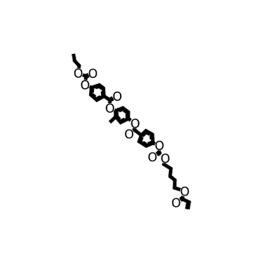 C=CC(=O)OCCCCCOC(=O)Oc1ccc(C(=O)Oc2ccc(OC(=O)c3ccc(OC(=O)OCCC)cc3)c(C)c2)cc1